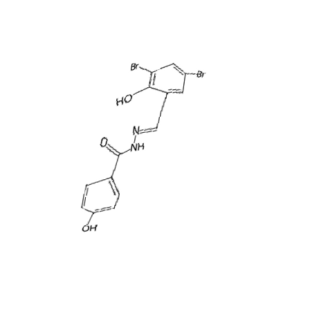 O=C(NN=Cc1cc(Br)cc(Br)c1O)c1ccc(O)cc1